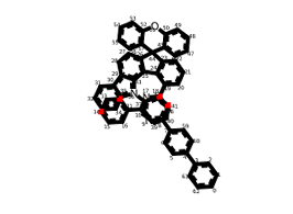 c1ccc(-c2ccc(-c3nc(-c4ccccc4)nc(-c4cccc5c4-c4c(ccc6c7ccccc7n(-c7ccccc7)c46)C54c5ccccc5Oc5ccccc54)n3)cc2)cc1